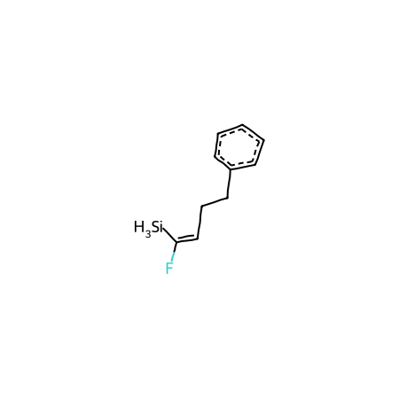 FC([SiH3])=CCCc1ccccc1